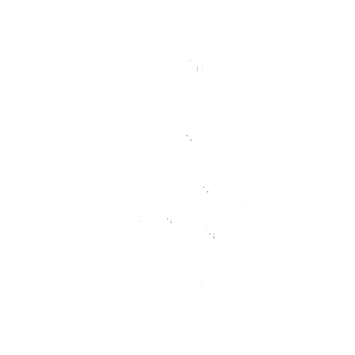 Cc1cc(F)cnc1Nc1nc(-c2ccc(O)cn2)cs1